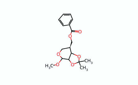 COC1OC[C@@H](COC(=O)c2ccccc2)C2OC(C)(C)OC12